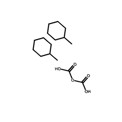 CC1CCCCC1.CC1CCCCC1.O=C(O)OC(=O)O